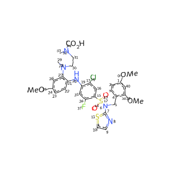 COc1ccc(CN(c2nccs2)S(=O)(=O)c2cc(Cl)c(Nc3ccc(OC)cc3N(C)CCN(C)C(=O)O)cc2F)c(OC)c1